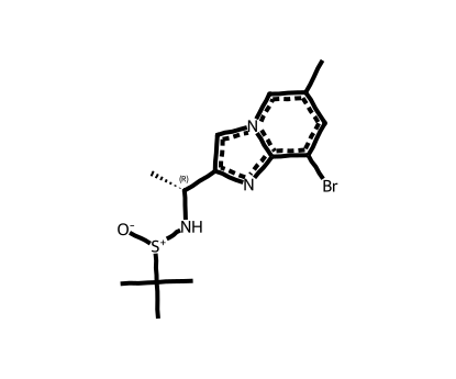 Cc1cc(Br)c2nc([C@@H](C)N[S+]([O-])C(C)(C)C)cn2c1